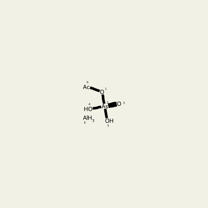 CC(=O)O[As](=O)(O)O.[AlH3]